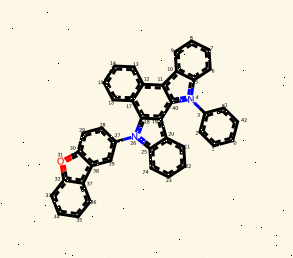 c1ccc(-n2c3ccccc3c3c4ccccc4c4c(c5ccccc5n4-c4ccc5oc6ccccc6c5c4)c32)cc1